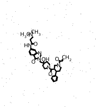 C=CC(=O)N1CCC(c2ccccc2)C(C(=O)N2CCC(O)(Cn3cnc4cc(NC(=O)CCN(C)C)ccc4c3=O)CC2)C1